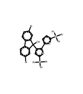 CC(C)[Si](c1ccc(-c2sc([Si](C(C)C)(C(C)C)C(C)C)cc2C2(O)c3cc(Br)ccc3-c3ccc(Br)cc32)s1)(C(C)C)C(C)C